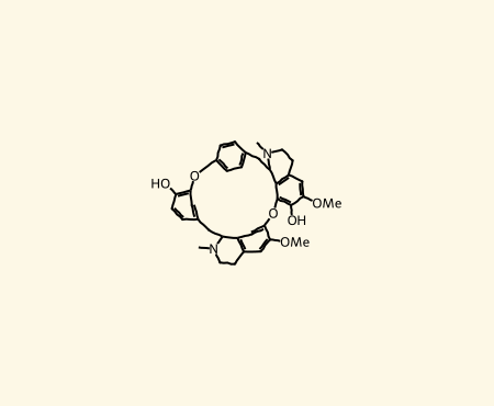 COc1cc2c3cc1Oc1c(O)c(OC)cc4c1C(Cc1ccc(cc1)Oc1cc(ccc1O)CC3N(C)CC2)N(C)CC4